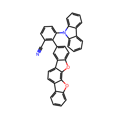 N#Cc1cccc(-n2c3ccccc3c3ccccc32)c1-c1ccc2oc3c(ccc4c5ccccc5oc43)c2c1